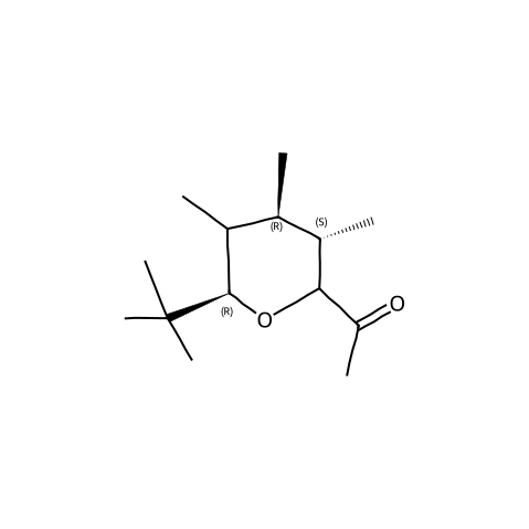 CC(=O)C1O[C@@H](C(C)(C)C)C(C)[C@@H](C)[C@@H]1C